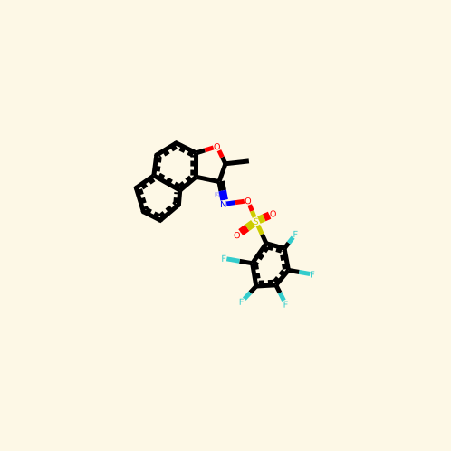 CC1Oc2ccc3ccccc3c2/C1=N/OS(=O)(=O)c1c(F)c(F)c(F)c(F)c1F